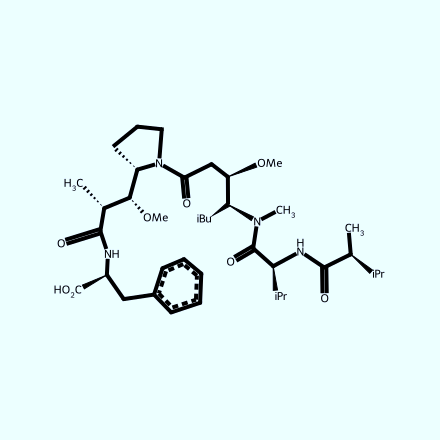 CC[C@H](C)[C@@H]([C@@H](CC(=O)N1CCC[C@H]1[C@H](OC)[C@@H](C)C(=O)N[C@@H](Cc1ccccc1)C(=O)O)OC)N(C)C(=O)[C@@H](NC(=O)[C@@H](C)C(C)C)C(C)C